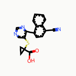 N#Cc1ccc(-c2ncncc2SC2(C(=O)O)CC2)c2ccccc12